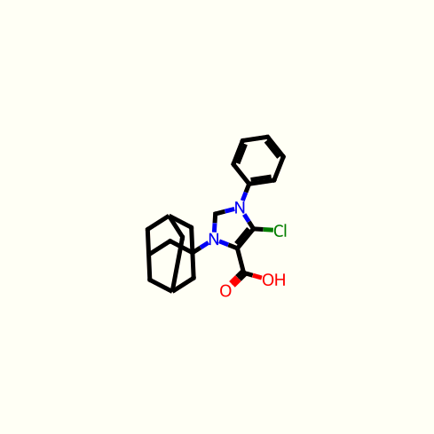 O=C(O)C1=C(Cl)N(c2ccccc2)CN1C12CC3CC(CC(C3)C1)C2